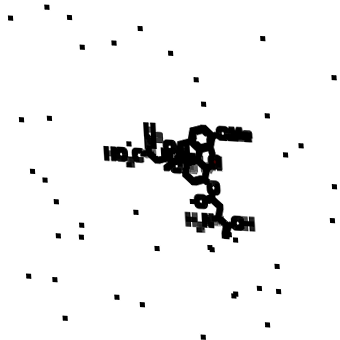 C=C(O)[C@@H](N)CC(=O)OC1=CC[C@@]2(OC(=O)C[C@H](N)C(=O)O)[C@H]3Cc4ccc(OC)c5c4[C@@]2(CCN3C)[C@H]1O5